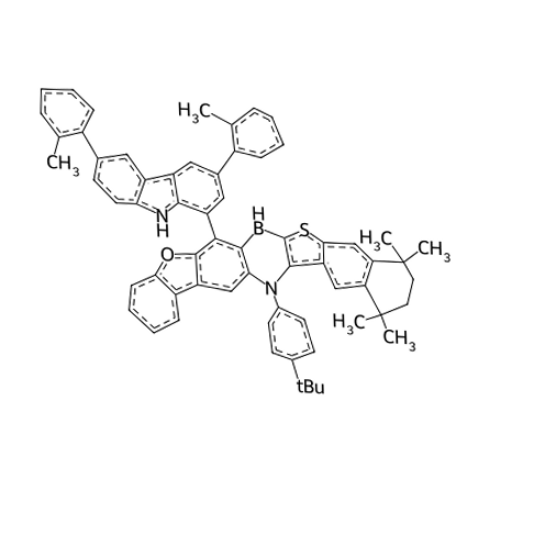 Cc1ccccc1-c1ccc2[nH]c3c(-c4c5c(cc6c4oc4ccccc46)N(c4ccc(C(C)(C)C)cc4)c4c(sc6cc7c(cc46)C(C)(C)CCC7(C)C)B5)cc(-c4ccccc4C)cc3c2c1